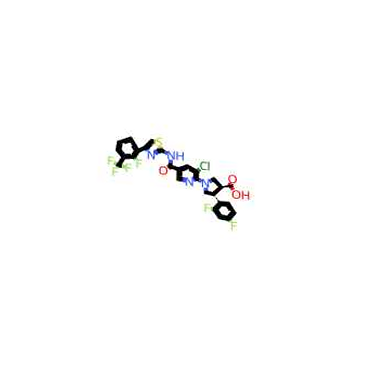 O=C(Nc1nc(-c2cccc(C(F)(F)F)c2F)cs1)c1cnc(N2C[C@@H](C(=O)O)[C@H](c3ccc(F)cc3F)C2)c(Cl)c1